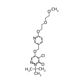 COCCOCCOc1ccc(COc2cnn(C(C)(C)C)c(=O)c2Cl)cn1